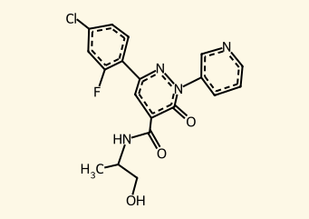 CC(CO)NC(=O)c1cc(-c2ccc(Cl)cc2F)nn(-c2cccnc2)c1=O